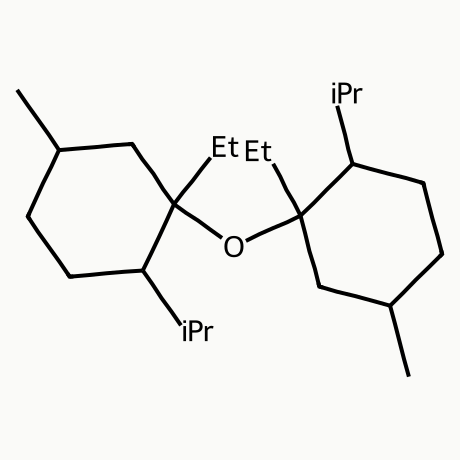 CCC1(OC2(CC)CC(C)CCC2C(C)C)CC(C)CCC1C(C)C